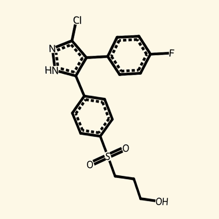 O=S(=O)(CCCO)c1ccc(-c2[nH]nc(Cl)c2-c2ccc(F)cc2)cc1